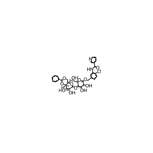 O=C(Nc1cc(CO[C@@H]2O[C@H](CO)[C@@H](O[C@H]3O[C@@H]4CO[C@@H](c5ccccc5)O[C@H]4[C@H](O)[C@H]3O)[C@H](O)[C@H]2O)ccc1Cl)c1cccnc1